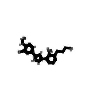 CC(=O)CCCc1cccc(-c2noc(-c3ccc(OC(C)C)c(Cl)c3)n2)c1C